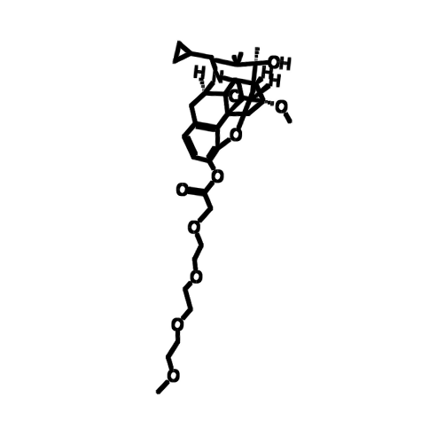 COCCOCCOCCOCC(=O)Oc1ccc2c3c1O[C@@H]1C[C@]45C[C@H]([C@](C)(O)C(C)(C)C)[C@]1(OC)C[C@]34CCN(CC1CC1)[C@@H]5C2